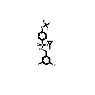 O=S(=O)(N[C@H](CC1CC1)c1cc(F)cc(Br)c1)c1ccc(OC(F)(F)F)cc1